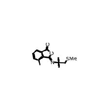 CSCC(C)(C)/N=C1\OC(=O)c2cccc(C)c21